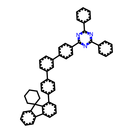 c1ccc(-c2nc(-c3ccccc3)nc(-c3ccc(-c4cccc(-c5ccc(-c6cccc7c6C6(CCCCC6)c6ccccc6-7)cc5)c4)cc3)n2)cc1